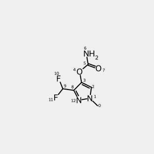 Cn1cc(OC(N)=O)c(C(F)F)n1